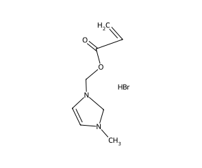 Br.C=CC(=O)OCN1C=CN(C)C1